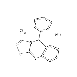 CC1=CSC2=Nc3ccccc3C(c3ccccc3)N12.Cl